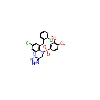 COc1ccc(S(=O)(=O)N(Cc2nnn[nH]2)c2ccc(Cl)cc2Cc2ccccc2Cl)cc1OC